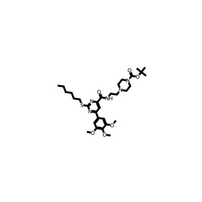 CCCCCCSc1nc(C(=O)NCCN2CCN(C(=O)OC(C)(C)C)CC2)cc(-c2cc(OC)c(OC)c(OC)c2)n1